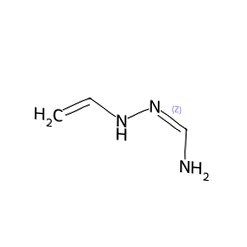 C=CN/N=C\N